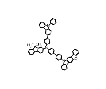 CC1(C)c2ccccc2-c2ccc(N(c3ccc(-c4ccc(-n5c6ccccc6c6cc7oc8ccccc8c7cc65)cc4)cc3)c3ccc(-c4ccc5c(c4)c4ccccc4n5-c4ccccc4)cc3)cc21